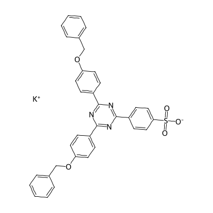 O=S(=O)([O-])c1ccc(-c2nc(-c3ccc(OCc4ccccc4)cc3)nc(-c3ccc(OCc4ccccc4)cc3)n2)cc1.[K+]